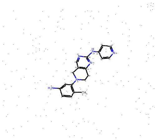 Cc1ccc(N)cc1N1CCc2nc(Nc3ccncc3)ncc2C1